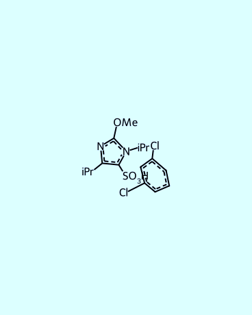 COc1nc(C(C)C)c(S(=O)(=O)O)n1C(C)C.Clc1cccc(Cl)c1